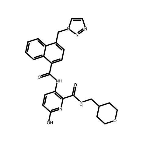 O=C(NCC1CCOCC1)c1nc(O)ccc1NC(=O)c1ccc(Cn2ccnn2)c2ccccc12